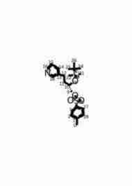 Cc1ccc(S(=O)(=O)OC[C@H](CCc2cccnc2)O[Si](C)(C)C(C)(C)C)cc1